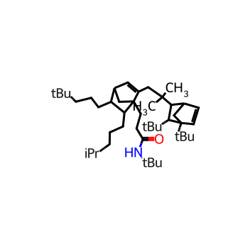 CC(C)CCCC1C(CCCC(C)(C)C)C2C=C(CC(C)(C)C3C4C=CC(C(C)(C)C)(C4)C3C(C)(C)C)C1(CCC(=O)NC(C)(C)C)C2